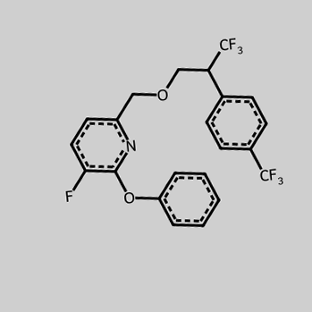 Fc1ccc(COCC(c2ccc(C(F)(F)F)cc2)C(F)(F)F)nc1Oc1ccccc1